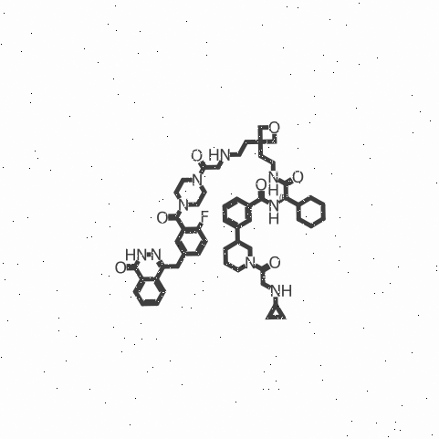 O=C(N[C@@H](C(=O)NCCC1(CCNCC(=O)N2CCN(C(=O)c3cc(Cc4n[nH]c(=O)c5ccccc45)ccc3F)CC2)COC1)C1CCCCC1)c1cccc(C2CCCN(C(=O)CNC3CC3)C2)c1